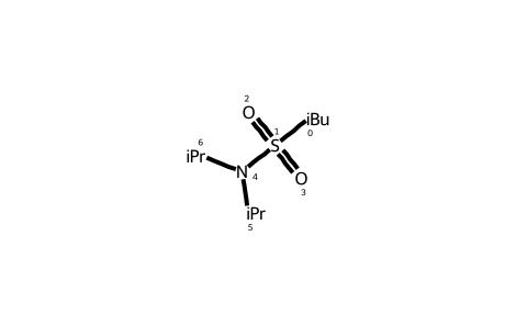 CCC(C)S(=O)(=O)N(C(C)C)C(C)C